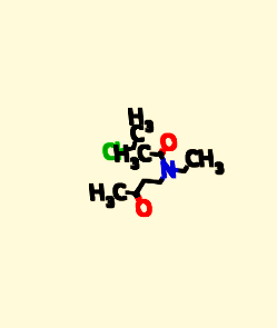 CCCl.CCN(CCC(C)=O)C(C)=O